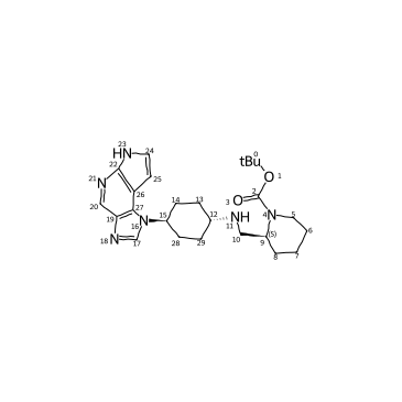 CC(C)(C)OC(=O)N1CCCC[C@H]1CN[C@H]1CC[C@H](n2cnc3cnc4[nH]ccc4c32)CC1